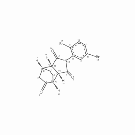 O=C1C[C@H]2CC[C@@H]1[C@H]1C(=O)N(c3cc(Br)ccc3Br)C(=O)[C@@H]21